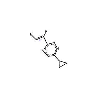 F/C(=C\I)c1cnc(C2CC2)cn1